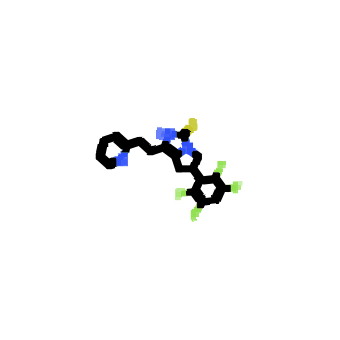 Fc1cc(F)c(F)c(C2Cc3c(CCc4ccccn4)[nH]c(=S)n3C2)c1F